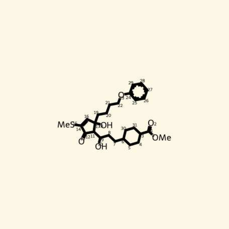 COC(=O)C1CCC(CCC(O)C2C(=O)C(SC)=CC2(O)CCCCOc2ccccc2)CC1